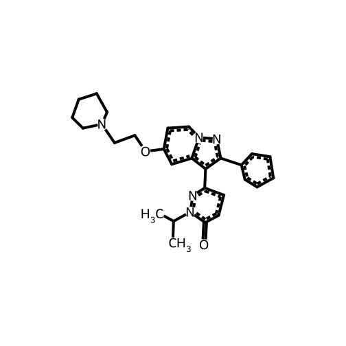 CC(C)n1nc(-c2c(-c3ccccc3)nn3ccc(OCCN4CCCCC4)cc23)ccc1=O